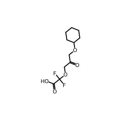 O=C(COC1CCCCC1)COC(F)(F)C(=O)O